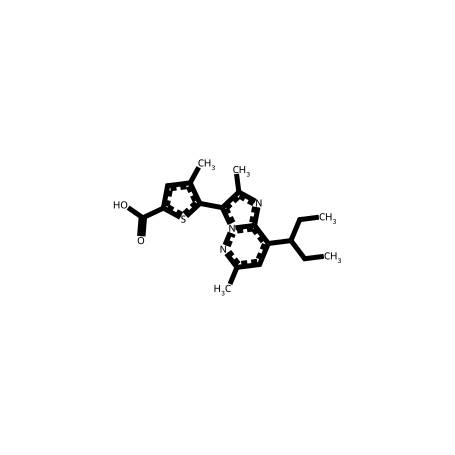 CCC(CC)c1cc(C)nn2c(-c3sc(C(=O)O)cc3C)c(C)nc12